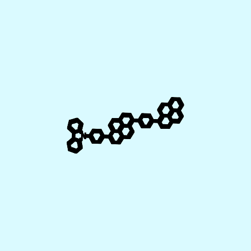 c1cc2ccc3ccc(-c4ccc(-c5ccc6ccc7c(-c8ccc(-n9c%10ccccc%10c%10ccccc%109)cc8)ccc8ccc5c6c87)cc4)c4ccc(c1)c2c34